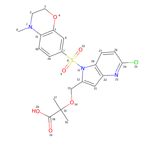 CN1CCOc2cc(S(=O)(=O)n3c(COC(C)(C)C(=O)O)cc4nc(Cl)ccc43)ccc21